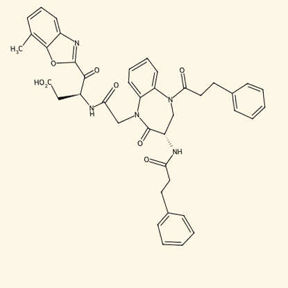 Cc1cccc2nc(C(=O)[C@H](CC(=O)O)NC(=O)CN3C(=O)[C@@H](NC(=O)CCc4ccccc4)CN(C(=O)CCc4ccccc4)c4ccccc43)oc12